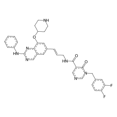 O=C(NCC=Cc1cc(OC2CCNCC2)c2nc(Nc3ccccc3)ncc2c1)c1cncn(Cc2ccc(F)c(F)c2)c1=O